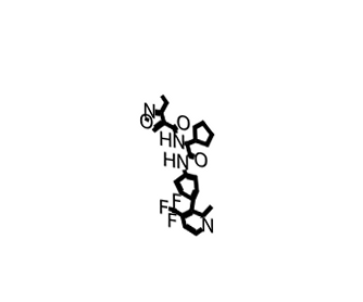 CCc1nocc1C(=O)NC(C(=O)Nc1ccc(-c2c(C(F)(F)F)ccnc2C)cc1)C1CCCC1